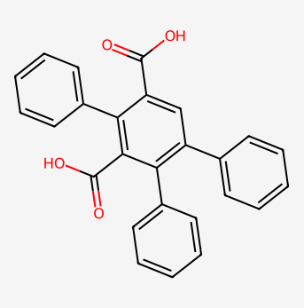 O=C(O)c1cc(-c2ccccc2)c(-c2ccccc2)c(C(=O)O)c1-c1ccccc1